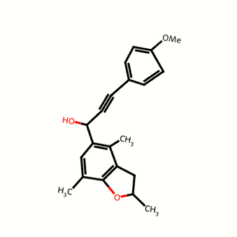 COc1ccc(C#CC(O)c2cc(C)c3c(c2C)CC(C)O3)cc1